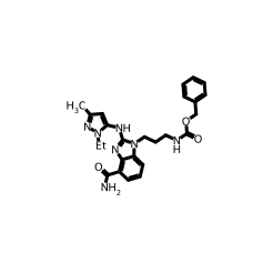 CCn1nc(C)cc1Nc1nc2c(C(N)=O)cccc2n1CCCNC(=O)OCc1ccccc1